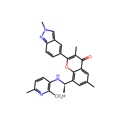 Cc1cc([C@@H](C)Nc2ccc(C)nc2C(=O)O)c2oc(-c3ccc4nn(C)cc4c3)c(C)c(=O)c2c1